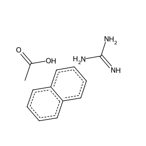 CC(=O)O.N=C(N)N.c1ccc2ccccc2c1